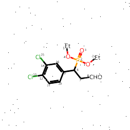 CCOP(=O)(OCC)C(CC=O)c1ccc(Cl)c(Cl)c1